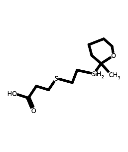 CC1([SiH2]CCSCCC(=O)O)CCCCO1